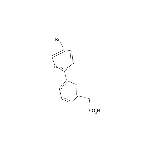 O=C(O)Cc1cccc(-c2ncc(Br)cn2)c1